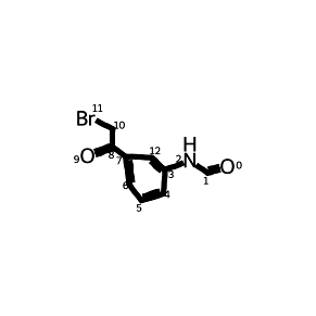 O=CNc1cccc(C(=O)CBr)c1